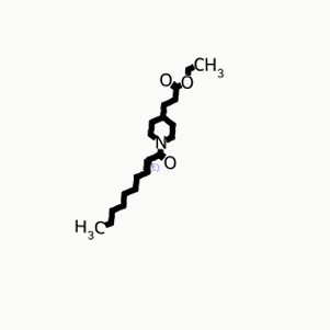 CCCCCCC/C=C/C(=O)N1CCC(CCC(=O)OCC)CC1